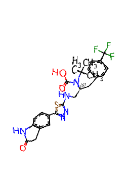 CC(C)(C)N(C(=O)O)[C@H](CNc1nnc(-c2ccc3c(c2)CC(=O)N3)s1)Cc1ccc(C(F)(F)F)cc1